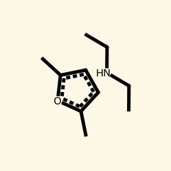 CCNCC.Cc1ccc(C)o1